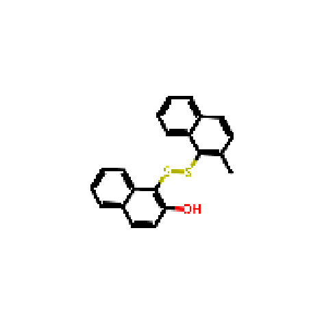 Cc1ccc2ccccc2c1SSc1c(O)ccc2ccccc12